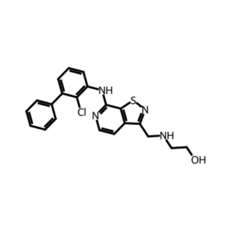 OCCNCc1nsc2c(Nc3cccc(-c4ccccc4)c3Cl)nccc12